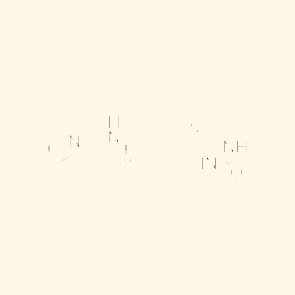 O=C(CCCCC1SCC2NC(=O)NC21)NCC[n+]1ccccc1